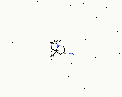 COC[C@@]1(C(C)(C)C)C[C@@H](N)CN1C(=O)O